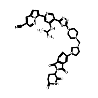 CC(C)Nc1cc(-c2ccc3cc(C#N)cnn23)ncc1-c1nnc(N2CCN(C[C@H]3CCN(c4ccc5c(c4)C(=O)N(C4CCC(=O)NC4=O)C5=O)C3)CC2)s1